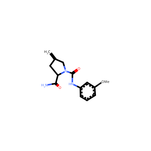 C=C1CC(C(N)=O)N(C(=O)Nc2cccc(OC)c2)C1